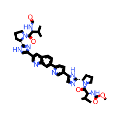 COC(=O)N[C@H](C(=O)N1CCC[C@H]1c1ncc(-c2ccc(-c3ccc4cc(-c5c[nH]c([C@@H]6CCCN6C(=O)[C@@H](NC=O)C(C)C)n5)cnc4c3)nc2)[nH]1)C(C)C